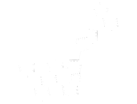 c1ccc(-c2c3ccccc3c(-c3cccc4oc5cc(-c6ccc7oc(-c8cccc9ccccc89)cc7c6)ccc5c34)c3ccccc23)cc1